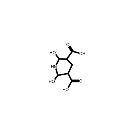 O=C(O)C1CC(C(=O)O)C(O)NC1O